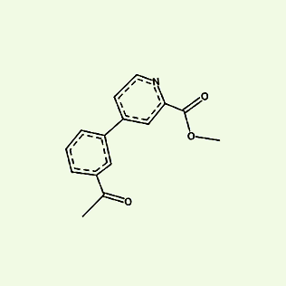 COC(=O)c1cc(-c2cccc(C(C)=O)c2)ccn1